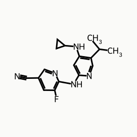 CC(C)c1cnc(Nc2ncc(C#N)cc2F)cc1NC1CC1